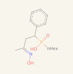 CCCCCCP(=O)(O)C(CC(C)=NO)c1ccccc1